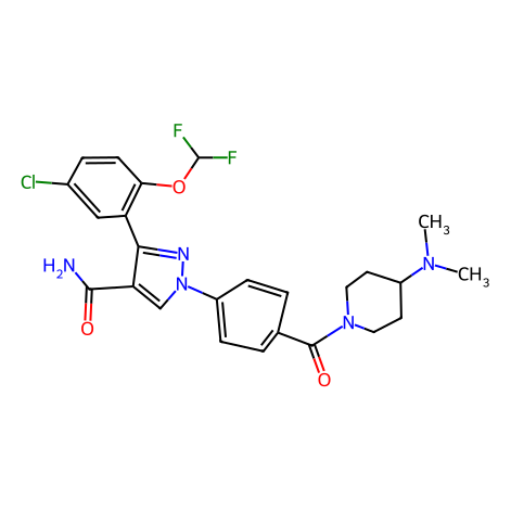 CN(C)C1CCN(C(=O)c2ccc(-n3cc(C(N)=O)c(-c4cc(Cl)ccc4OC(F)F)n3)cc2)CC1